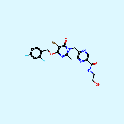 Cc1nc(OCc2ccc(F)cc2F)c(Br)c(=O)n1Cc1cnc(C(=O)NCCO)cn1